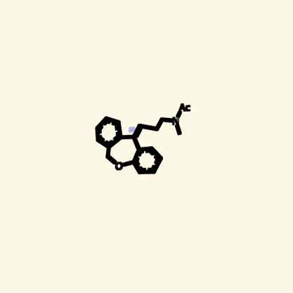 CC(=O)N(C)CC/C=C1/c2ccccc2COc2ccccc21